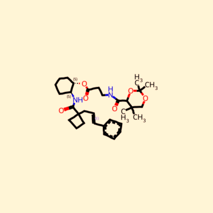 CC1(C)OCC(C)(C)C(C(=O)NCCC(=O)O[C@H]2CCCC[C@@H]2NC(=O)C2(C/C=C/c3ccccc3)CCC2)O1